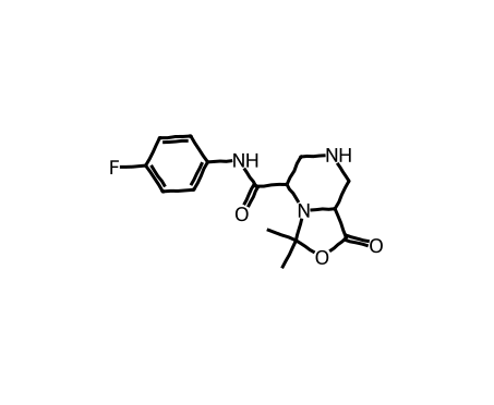 CC1(C)OC(=O)C2CNCC(C(=O)Nc3ccc(F)cc3)N21